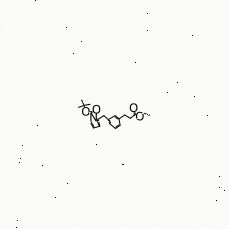 CCOC(=O)CCc1cccc(Cc2cccn2C(=O)OC(C)(C)C)c1